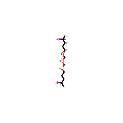 CC(I)CCCOCOCOCCCC(C)I